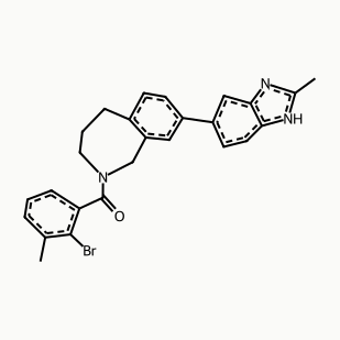 Cc1nc2cc(-c3ccc4c(c3)CN(C(=O)c3cccc(C)c3Br)CCC4)ccc2[nH]1